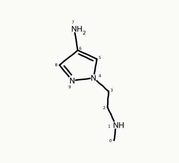 CNCCn1cc(N)cn1